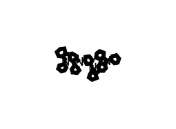 c1ccc(-n2c3ccccc3c3c2ccc2c4ccccc4n(-c4cccc(-n5c6ccccc6c6c5ccc5c7ccccc7n(-c7ccccc7)c56)c4)c23)cc1